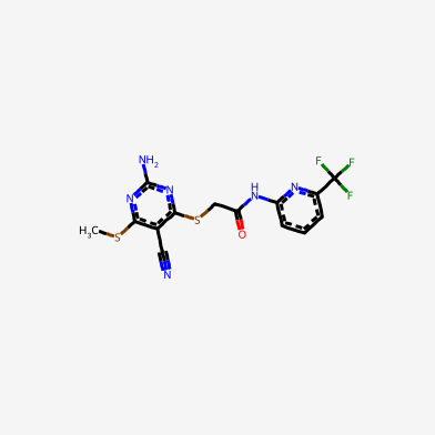 CSc1nc(N)nc(SCC(=O)Nc2cccc(C(F)(F)F)n2)c1C#N